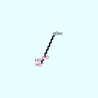 CCCCCCCCCCCC/C=C/C=C/C=C/C=C/C=C/C(=O)OCC(O)CO